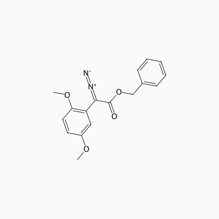 COc1ccc(OC)c(C(=[N+]=[N-])C(=O)OCc2ccccc2)c1